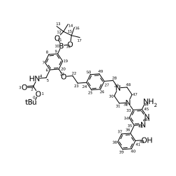 CC(C)(C)OC(=O)NCc1ccc(B2OC(C)(C)C(C)(C)O2)cc1OCCc1ccc(CN2CCN(c3cc(-c4ccccc4O)nnc3N)CC2)cc1